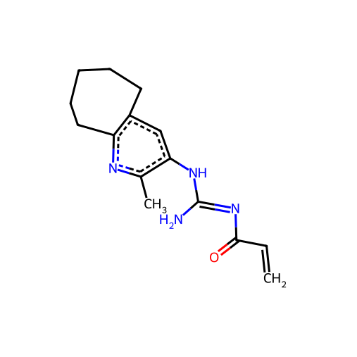 C=CC(=O)/N=C(\N)Nc1cc2c(nc1C)CCCCC2